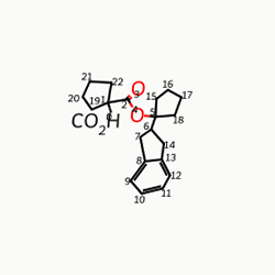 O=C(O)C1(C(=O)OC2(C3Cc4ccccc4C3)CCCC2)CCCC1